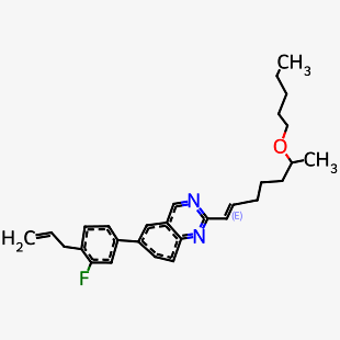 C=CCc1ccc(-c2ccc3nc(/C=C/CCCC(C)OCCCCC)ncc3c2)cc1F